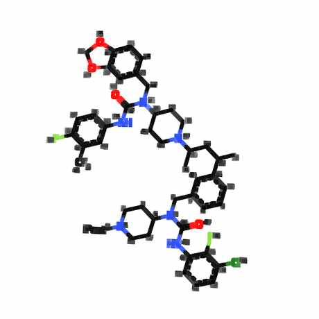 CCCC(C)N1CCC(N(Cc2cccc(C(C)CC(C)N3CCC(N(Cc4ccc5c(c4)OCO5)C(=O)Nc4ccc(F)c(C(F)(F)F)c4)CC3)c2)C(=O)Nc2cccc(Cl)c2F)CC1